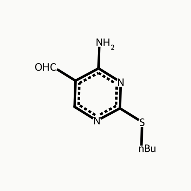 CCCCSc1ncc(C=O)c(N)n1